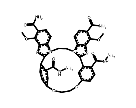 COc1c(C(N)=O)ccc2c1nc1n2CCn2c(nc3c(OC)c(C(N)=O)ccc32)-c2cc(ccc2C(=O)NN)OCCOc2ccc-1c(C(=O)NN)c2